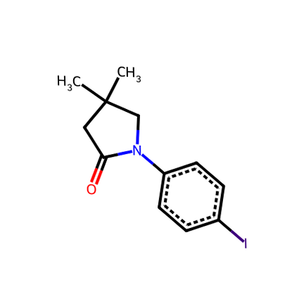 CC1(C)CC(=O)N(c2ccc(I)cc2)C1